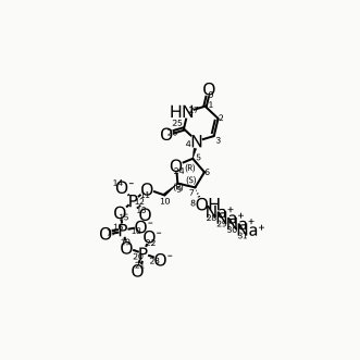 O=c1ccn([C@H]2C[C@H](O)[C@@H](COP(=O)([O-])OP(=O)([O-])OP(=O)([O-])[O-])O2)c(=O)[nH]1.[Na+].[Na+].[Na+].[Na+]